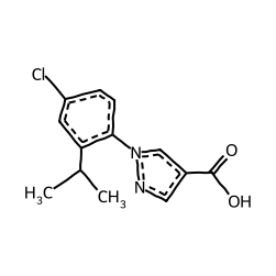 CC(C)c1cc(Cl)ccc1-n1cc(C(=O)O)cn1